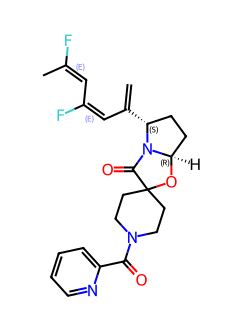 C=C(/C=C(F)\C=C(/C)F)[C@@H]1CC[C@H]2OC3(CCN(C(=O)c4ccccn4)CC3)C(=O)N21